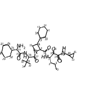 CCCC(NC(=O)C1C(C2CCCCC2)CN1C(=O)C(NC(=O)C(N)C1CCCCC1)C(C)(C)C)C(=O)C(=O)NC1CC1